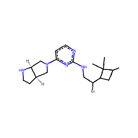 CCC(CNc1nccc(N2C[C@H]3CCN[C@H]3C2)n1)C1CC(C)C1(C)C